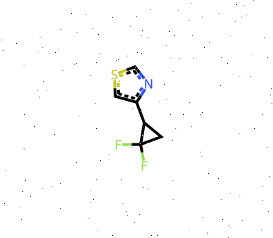 FC1(F)CC1c1cscn1